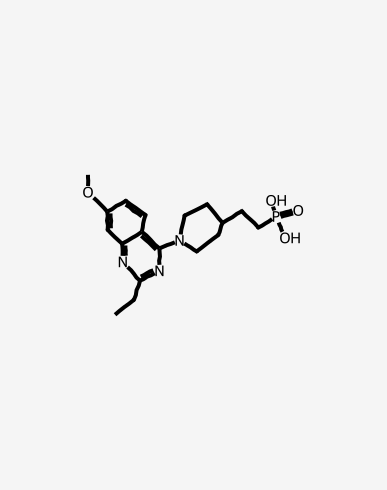 CCc1nc(N2CCC(CCP(=O)(O)O)CC2)c2ccc(OC)cc2n1